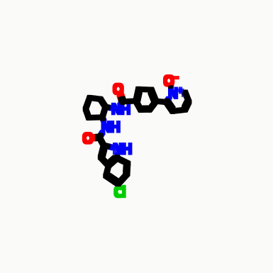 O=C(NC1CCCCC1NC(=O)c1cc2cc(Cl)ccc2[nH]1)c1ccc(-c2cccc[n+]2[O-])cc1